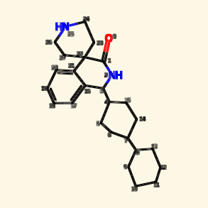 O=C1NC(C2CCC(C3CCCCC3)CC2)c2ccccc2C12CCNCC2